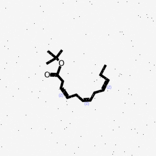 CC/C=C\C/C=C\C/C=C\CC(=O)OC(C)(C)C